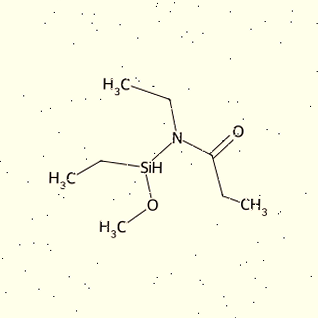 CCC(=O)N(CC)[SiH](CC)OC